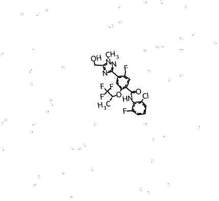 C[C@H](Oc1cc(-c2nc(CO)n(C)n2)c(F)cc1C(=O)Nc1c(F)cccc1Cl)C(F)(F)F